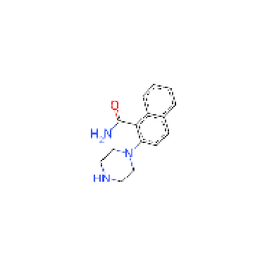 NC(=O)c1c(N2CCNCC2)ccc2ccccc12